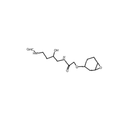 O=CNCCC(O)CNC(=O)COC1CCC2OC2C1